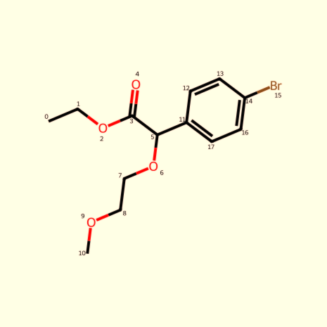 CCOC(=O)C(OCCOC)c1ccc(Br)cc1